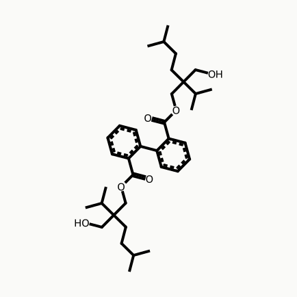 CC(C)CCC(CO)(COC(=O)c1ccccc1-c1ccccc1C(=O)OCC(CO)(CCC(C)C)C(C)C)C(C)C